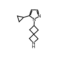 c1cc(C2CC2)n(C2CC3(CNC3)C2)n1